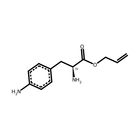 C=CCOC(=O)[C@@H](N)Cc1ccc(N)cc1